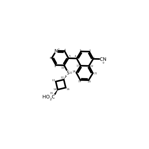 N#Cc1ccc(-c2cnccc2S[C@H]2C[C@H](C(=O)O)C2)c2ccccc12